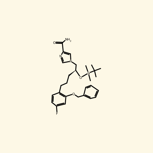 CC(C)(C)[Si](C)(C)O[C@@H](CCCc1ccc(F)cc1OCc1ccccc1)Cn1cnc(C(N)=O)c1